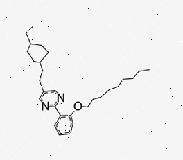 CCCCCCCCCOc1ccccc1-c1ncc(CCC2CCC(CC)CC2)cn1